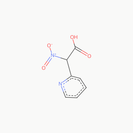 O=C(O)C(c1ccccn1)[N+](=O)[O-]